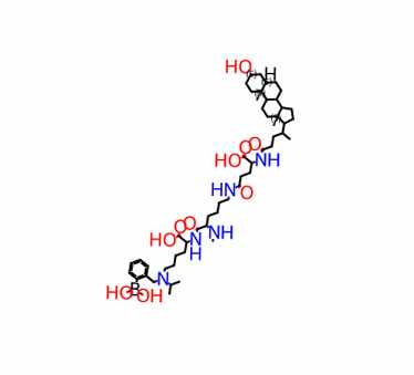 CNC(CCCCNC(=O)CCC(NC(=O)CCC(C)C1CCC2C3CC[C@H]4C[C@@H](O)CC[C@@]4(C)C3CC[C@@]12C)C(=O)O)C(=O)NC(CCCCN(Cc1ccccc1B(O)O)C(C)C)C(=O)O